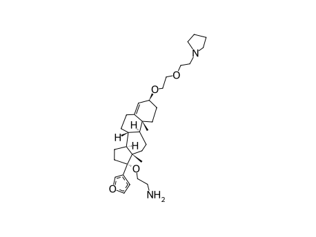 C[C@]12CC[C@H](OCCOCCN3CCCC3)C=C1CC[C@@H]1[C@@H]2CC[C@@]2(C)[C@H]1CC[C@]2(OCCN)c1ccoc1